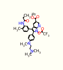 C=CC(=O)Nc1cc(-c2c(-c3ccc(N(C)CCN(C)C)cc3)n(OC(=O)C(F)(F)F)c3ncc(C(=O)OC(C)C)cc23)ccc1C